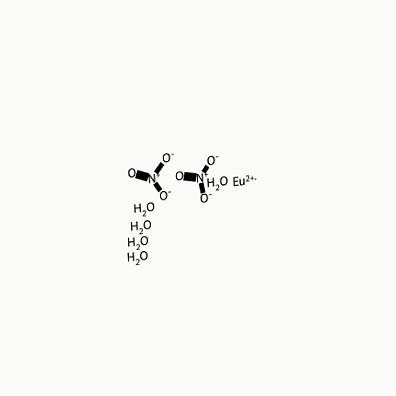 O.O.O.O.O.O=[N+]([O-])[O-].O=[N+]([O-])[O-].[Eu+2]